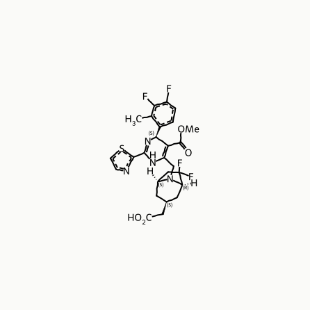 COC(=O)C1=C(CN2[C@H]3C[C@H](CC(=O)O)C[C@@H]2C(F)(F)C3)NC(c2nccs2)=N[C@H]1c1ccc(F)c(F)c1C